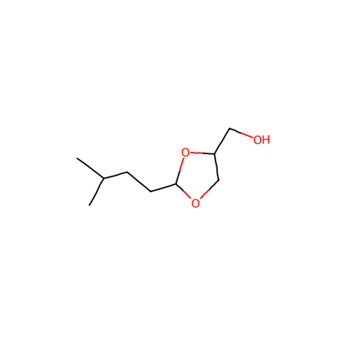 CC(C)CCC1OCC(CO)O1